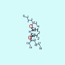 CCCCC(CC)O[SiH2]C[SiH2]OC(CC)CCCC